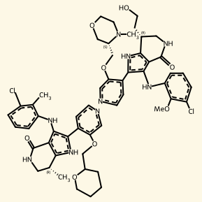 COc1c(Cl)cccc1Nc1c(-c2ccncc2OC[C@@H]2COCCN2C)[nH]c2c1C(=O)NC[C@H]2CCO.Cc1c(Cl)cccc1Nc1c(-c2ccncc2OCC2CCCCO2)[nH]c2c1C(=O)NC[C@H]2C